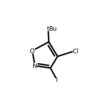 CC(C)(C)c1onc(I)c1Cl